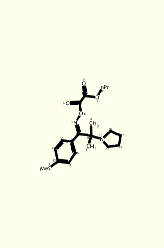 CCCOC(=O)C(=O)ON=C(c1ccc(SC)cc1)C(C)(C)N1CCCC1